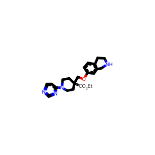 CCOC(=O)C1(COc2ccc3c(c2)CNCC3)CCN(c2ccncn2)CC1